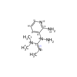 C/N=C(\N(C)C)N(N)c1cccnc1N